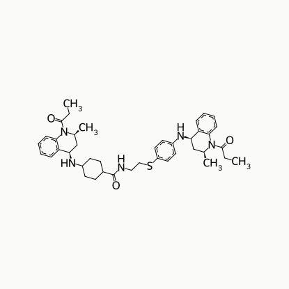 CCC(=O)N1c2ccccc2[C@H](Nc2ccc(SCCNC(=O)C3CCC(N[C@@H]4C[C@H](C)N(C(=O)CC)c5ccccc54)CC3)cc2)C[C@@H]1C